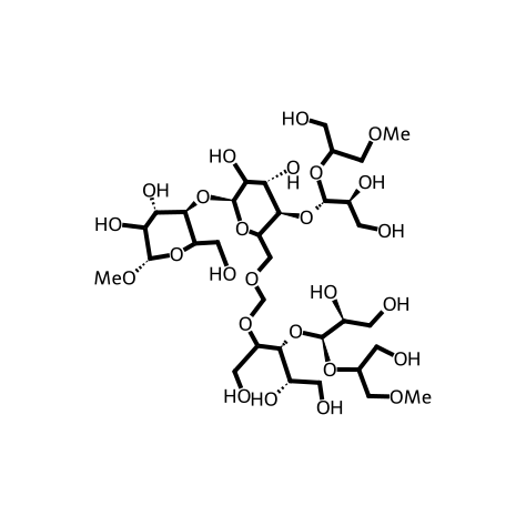 COCC(CO)O[C@@H](O[C@@H](C(CO)OCOCC1O[C@@H](O[C@H]2C(CO)O[C@H](OC)C(O)[C@@H]2O)C(O)[C@H](O)[C@H]1O[C@H](OC(CO)COC)[C@@H](O)CO)[C@@H](O)CO)[C@@H](O)CO